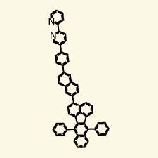 c1ccc(-c2c3c(c(-c4ccccc4)c4ccccc24)-c2ccc(-c4ccc5cc(-c6ccc(-c7ccc(-c8ccccn8)nc7)cc6)ccc5c4)c4cccc-3c24)cc1